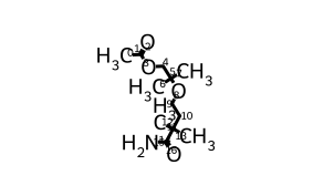 CC(=O)OCC(C)(C)OCCC(C)(C)C(N)=O